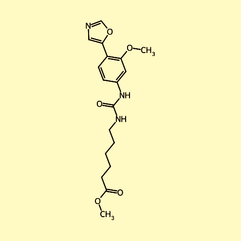 COC(=O)CCCCCNC(=O)Nc1ccc(-c2cnco2)c(OC)c1